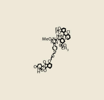 COc1nc(Nc2cc(S(C)(=O)=O)ccc2N[C@@H](c2cccc3c2OC(F)(F)O3)c2ncccc2Cl)nc(N2CCN(CCOCCOc3cccc4c3C(=O)N(C3CCC(=O)NC3=O)C4=O)CC2)n1